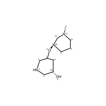 O[C@@H]1CNCC(O[C@@H]2CCCN(I)C2)C1